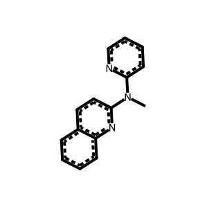 CN(c1ccccn1)c1ccc2ccccc2n1